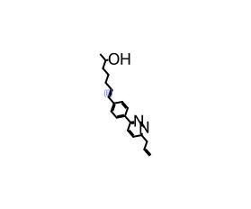 C=CCc1ccc(-c2ccc(/C=C/CCCC(C)O)cc2)nn1